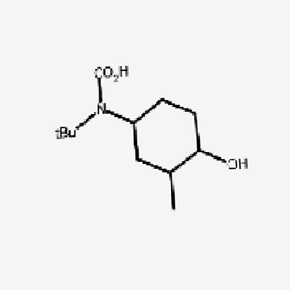 CC1CC(N(C(=O)O)C(C)(C)C)CCC1O